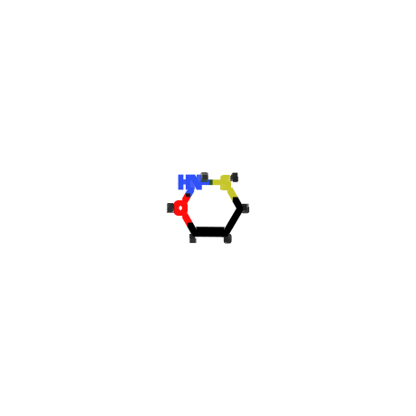 C1=CONSC1